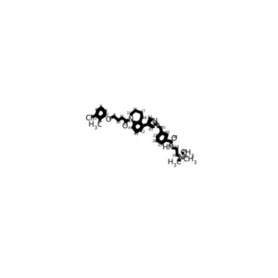 Cc1c(Cl)cccc1OCCCC(=O)N1CCCCc2c(-c3cnn(Cc4cccc(C(=O)NCC[N+](C)(C)C)c4)c3)cccc21